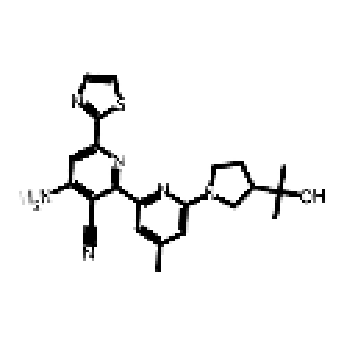 Cc1cc(-c2nc(-c3nccs3)cc(N)c2C#N)nc(N2CCC(C(C)(C)O)C2)c1